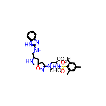 Cc1cc(C)c(S(=O)(=O)NC(CN(C=O)C2=NO[C@]3(CNC(CNc4nc5ccccc5[nH]4)C3)C2)C(=O)O)c(C)c1